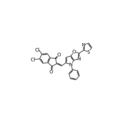 O=C1C(=Cc2cc3oc(-c4nccs4)nc3n2-c2ccccc2)C(=O)c2cc(Cl)c(Cl)cc21